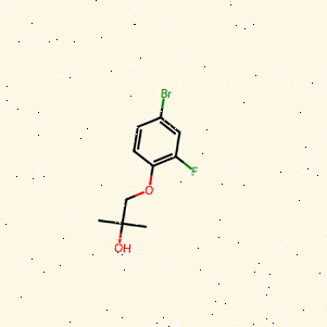 CC(C)(O)COc1ccc(Br)cc1F